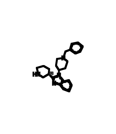 c1ccc(CN2CCC(n3c([C@@H]4CCCNC4)nc4ccccc43)CC2)cc1